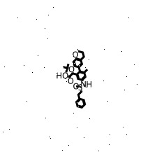 Cc1cc(N[S+]([O-])CCc2ccccc2)cc(C(OC(C)(C)C)C(=O)O)c1-c1ccc2c(c1)CCCO2